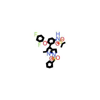 Cc1cc(-c2cc(NS(=O)(=O)C(C)C)ccc2Oc2ccc(F)cc2F)c2ccn(S(=O)(=O)Cc3ccccc3)c2n1